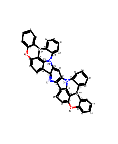 c1ccc2c(c1)Oc1ccc3c4nc5c6ccc7c8c6n(c5cc4n4c3c1B2c1ccccc1-4)-c1ccccc1B8c1ccccc1O7